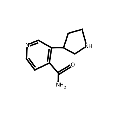 NC(=O)c1ccncc1C1CCNC1